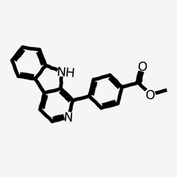 COC(=O)c1ccc(-c2nccc3c2[nH]c2ccccc23)cc1